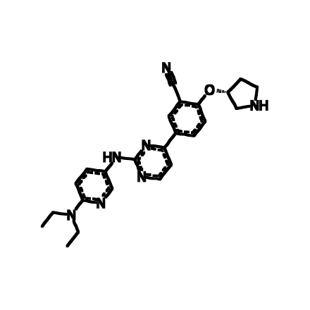 CCN(CC)c1ccc(Nc2nccc(-c3ccc(O[C@@H]4CCNC4)c(C#N)c3)n2)cn1